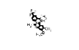 COc1cc2nc(C)nc(N[C@H](C)c3cccc(C(F)(F)F)c3)c2cc1C